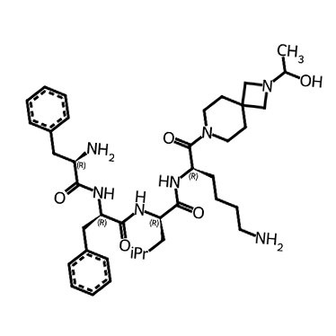 CC(C)C[C@@H](NC(=O)[C@@H](Cc1ccccc1)NC(=O)[C@H](N)Cc1ccccc1)C(=O)N[C@H](CCCCN)C(=O)N1CCC2(CC1)CN(C(C)O)C2